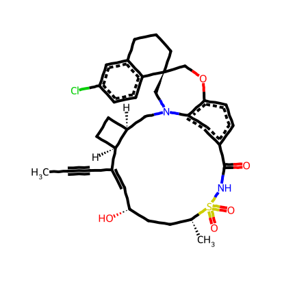 CC#C/C1=C\[C@@H](O)CC[C@@H](C)S(=O)(=O)NC(=O)c2ccc3c(c2)N(C[C@@H]2CC[C@H]12)C[C@@]1(CCCc2cc(Cl)ccc21)CO3